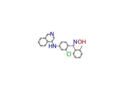 Cc1ccccc1C(=NO)c1ccc(Nc2cncc3ccccc23)cc1Cl